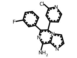 Nc1nc(-c2cccc(F)c2)c(-c2ccnc(Cl)c2)n2ccnc12